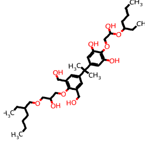 CCCCC(CC)COCC(O)COc1c(CO)cc(C(C)(C)c2cc(O)c(OCC(O)OC(CC)CCCC)c(O)c2)cc1CO